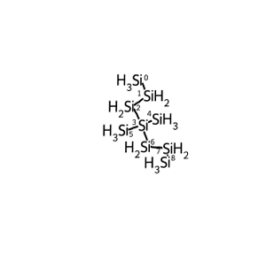 [SiH3][SiH2][SiH2][Si]([SiH3])([SiH3])[SiH2][SiH2][SiH3]